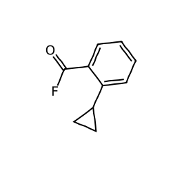 O=C(F)c1ccccc1C1CC1